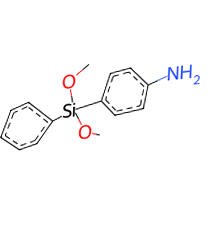 CO[Si](OC)(c1ccccc1)c1ccc(N)cc1